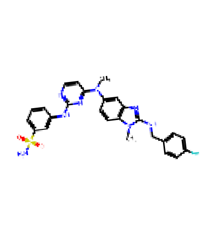 CN(c1ccc2c(c1)nc(NCc1ccc(F)cc1)n2C)c1ccnc(Nc2cccc(S(N)(=O)=O)c2)n1